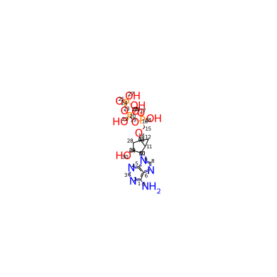 Nc1ncnc2c1ncn2[C@@H]1C2C[C@@]2(OCP(=O)(O)OP(=O)(O)OP(=O)(O)O)C[C@@H]1O